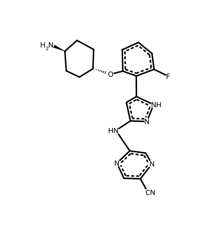 N#Cc1cnc(Nc2cc(-c3c(F)cccc3O[C@H]3CC[C@H](N)CC3)[nH]n2)cn1